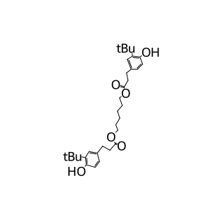 CC(C)(C)c1cc(CCC(=O)OCCCCCCOC(=O)CCc2ccc(O)c(C(C)(C)C)c2)ccc1O